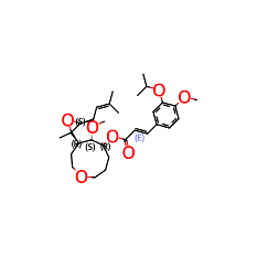 COc1ccc(/C=C/C(=O)O[C@@H]2CCCOCC[C@@H](C3(C)O[C@H]3CC=C(C)C)[C@@H]2OC)cc1OC(C)C